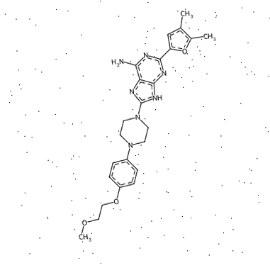 COCCOc1ccc(N2CCN(c3nc4c(N)nc(-c5cc(C)c(C)o5)nc4[nH]3)CC2)cc1